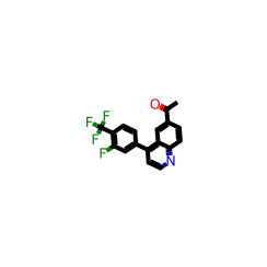 CC(=O)c1ccc2nccc(-c3ccc(C(F)(F)F)c(F)c3)c2c1